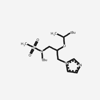 CC(OC(CN(C(C)(C)C)S(C)(=O)=O)Cn1ccnc1)C(C)(C)C